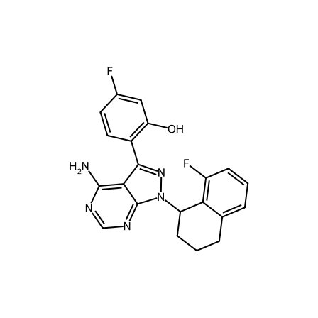 Nc1ncnc2c1c(-c1ccc(F)cc1O)nn2C1CCCc2cccc(F)c21